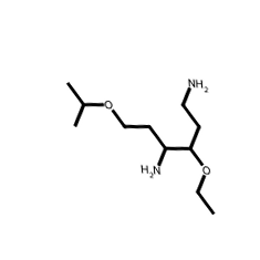 CCOC(CCN)C(N)CCOC(C)C